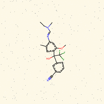 CCN(C)/C=N/c1cc(OC)c(C(O)(c2cccc(C#N)c2)C(F)(F)F)cc1C